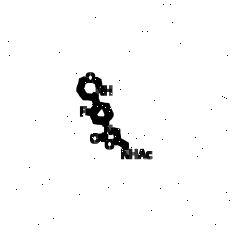 CC(=O)NCC1CN(c2ccc(C3CCCOCN3)c(F)c2)C(=O)O1